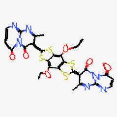 CCOc1c2c(c(OCC)c3c1SC(=c1c(C)nc4nccc(=O)n4c1=O)S3)SC(=c1c(C)nc3nccc(=O)n3c1=O)S2